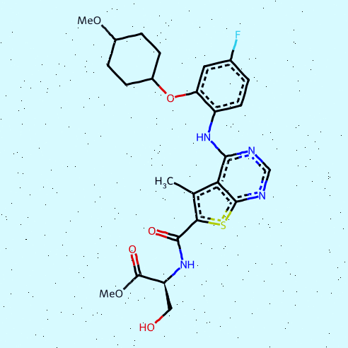 COC(=O)[C@H](CO)NC(=O)c1sc2ncnc(Nc3ccc(F)cc3OC3CCC(OC)CC3)c2c1C